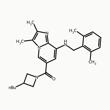 CCCCC1CN(C(=O)c2cc(NCc3c(C)cccc3C)c3nc(C)c(C)n3c2)C1